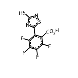 O=C(O)c1c(F)c(F)c(F)c(F)c1-c1nc(S)ns1